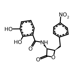 O=C(N[C@@H]1C(=O)O[C@@H]1Cc1ccc([N+](=O)[O-])cc1)c1cccc(O)c1O